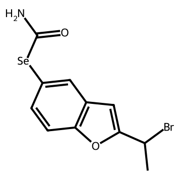 CC(Br)c1cc2cc([Se]C(N)=O)ccc2o1